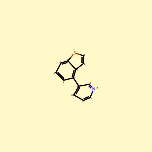 [c]1ccc2sccc2c1-c1cccnc1